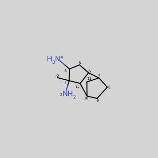 CC1(N)C(N)CC2C3CCC(C3)C21